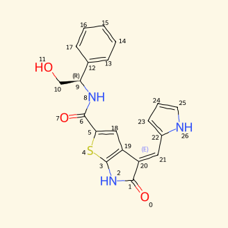 O=C1Nc2sc(C(=O)N[C@@H](CO)c3ccccc3)cc2/C1=C\c1ccc[nH]1